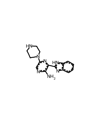 Nc1ncc(N2CCNCC2)nc1-c1nc2ccccc2[nH]1